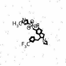 Cn1cc(S(=O)(=O)NCc2cc3c(cc2F)CC(N2CCC2)C3Cc2cccc(C(F)(F)F)c2)cn1